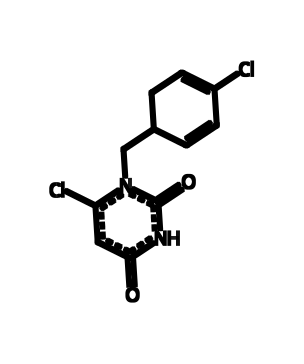 O=c1cc(Cl)n(CC2C=CC(Cl)=CC2)c(=O)[nH]1